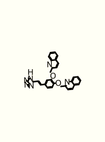 C(=Cc1nnn[nH]1)c1ccc(OCc2ccc3ccccc3n2)c(OCc2ccc3ccccc3n2)c1